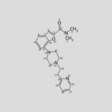 CN(C)C(=O)c1cc2cccc(N3CCN(CCc4ccccn4)CC3)c2o1